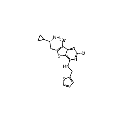 N[C@H](Cc1sc2c(NCc3cccs3)nc(Cl)nc2c1Br)C1CC1